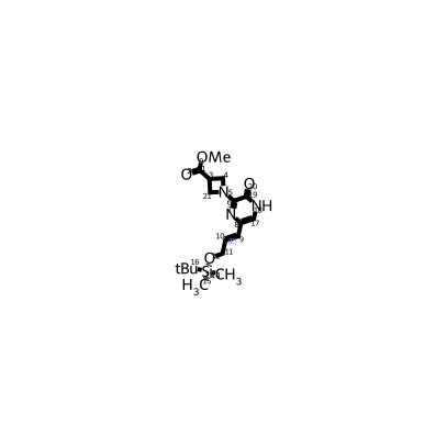 COC(=O)C1CN(c2nc(/C=C/CO[Si](C)(C)C(C)(C)C)c[nH]c2=O)C1